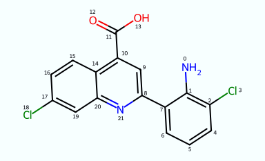 Nc1c(Cl)cccc1-c1cc(C(=O)O)c2ccc(Cl)cc2n1